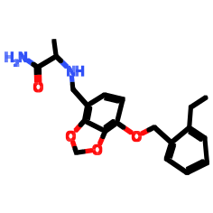 CCc1ccccc1COc1ccc(CNC(C)C(N)=O)c2c1OCO2